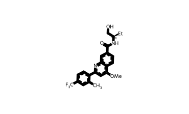 CC[C@H](CO)NC(=O)c1ccc2c(OC)cc(-c3ccc(C(F)(F)F)cc3C)nc2c1